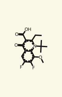 CCc1c(C(=O)O)c(=O)c2cc(F)c(F)c(OC)c2n1C(C)(C)C